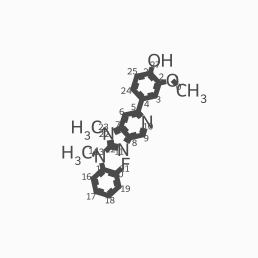 COc1cc(-c2cc3c(cn2)nc(N(C)c2ccccc2F)n3C)ccc1O